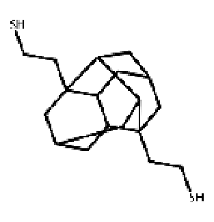 SCCC12CC3CC4C1CC1CC2C(C3)C4(CCS)C1